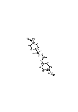 CN(CCC(C)(C)N1CCC(N(C)C)CC1)CC1CCN(C(C)(C)C)CC1